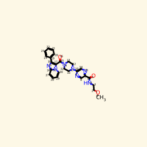 COCCNC(=O)c1cnc(N2CCN(C(=O)c3c(-c4ccccc4)nc4ccccn34)CC2)cn1